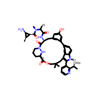 CCn1c(-c2cccnc2[C@H](C)OC)c2c3cc(ccc31)-c1cc(O)cc(c1)C[C@H](NC(=O)C(C(C)C)N(C)C(=O)[C@H]1[C@@H](C)[C@H]1N)C(=O)N1CCC[C@H](N1)C(=O)OCC(C)(C)C2